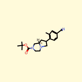 Cc1cc(C#N)ccc1C1C[C@H]2CN(C(=O)OC(C)(C)C)CCN2C1